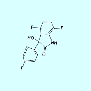 O=C1Nc2c(F)ccc(F)c2C1(O)c1ccc(F)cc1